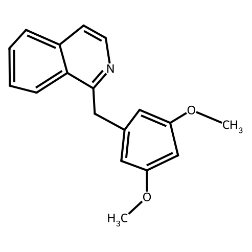 COc1cc(Cc2nccc3ccccc23)cc(OC)c1